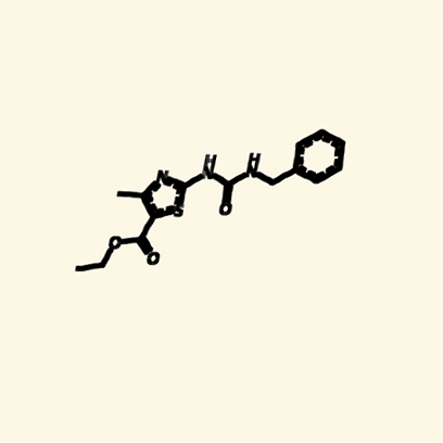 CCOC(=O)c1sc(NC(=O)NCc2ccccc2)nc1C